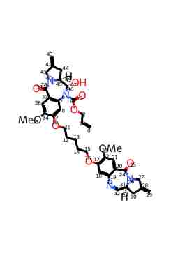 C=CCOC(=O)N1c2cc(OCCCCCOc3cc4c(cc3OC)C(=O)N3CC(=C)C[C@H]3C=N4)c(OC)cc2C(=O)N2CC(=C)C[C@H]2[C@@H]1O